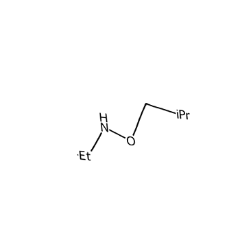 C[CH]NOCC(C)C